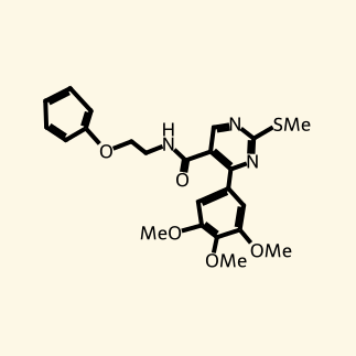 COc1cc(-c2nc(SC)ncc2C(=O)NCCOc2ccccc2)cc(OC)c1OC